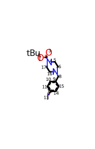 CC(C)(C)OC(=O)N1CCN(Cc2ccc(I)cc2)CC1